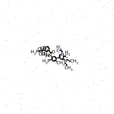 C=C1C(N(CCC)CCC)=CC(c2cc(NC(=O)c3ccnc(C(C)(C)C(C)(C)P)c3)c(P)cc2C)=CN1/C=C\C